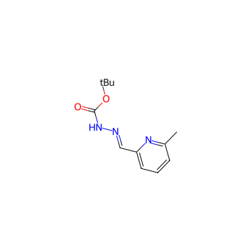 Cc1cccc(C=NNC(=O)OC(C)(C)C)n1